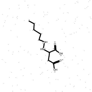 CCCCCNNC(CC(=O)O)C(=O)O